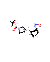 CC(C)(C)OC(=O)N1CC[C@H](Oc2cc(F)ccc2N=O)C1